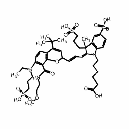 CCN(CCCS(=O)(=O)O)c1ccc2c(c1C(=O)NCCOC)OC(/C=C/C=C1/N(CCCCCC(=O)O)c3ccc(S(=O)(=O)O)cc3C1(C)CCCS(=O)(=O)O)C=C2C(C)(C)C